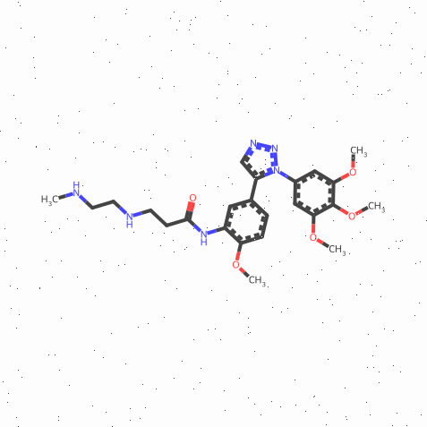 CNCCNCCC(=O)Nc1cc(-c2cnnn2-c2cc(OC)c(OC)c(OC)c2)ccc1OC